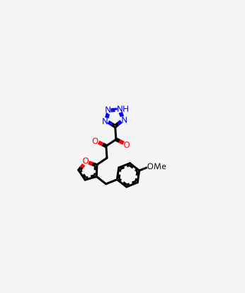 COc1ccc(Cc2ccoc2CC(=O)C(=O)c2nn[nH]n2)cc1